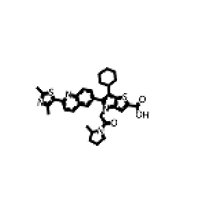 Cc1nc(C)c(-c2ccc3cc(-c4c(C5CCCCC5)c5sc(C(=O)O)cc5n4CC(=O)N4CCCC4C)ccc3n2)s1